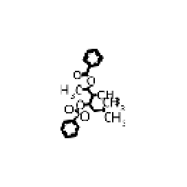 CC(C)CC(OS(=O)(=O)c1ccccc1)C(C)C(C)OC(=O)c1ccccc1